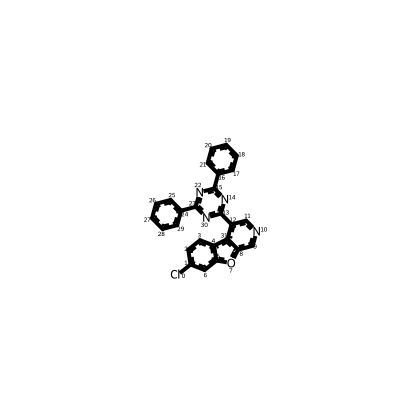 Clc1ccc2c(c1)oc1cncc(-c3nc(-c4ccccc4)nc(-c4ccccc4)n3)c12